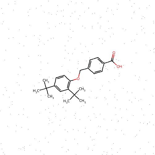 CC(C)(C)c1ccc(OCc2ccc(C(=O)O)cc2)c(C(C)(C)C)c1